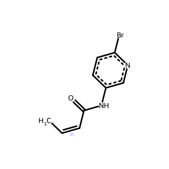 C/C=C\C(=O)Nc1ccc(Br)nc1